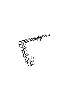 [Ba+2].[Ba+2].[Mg+2].[Mg+2].[O-2].[O-2].[O-2].[O-2].[O-2].[O-2].[O-2].[O-2].[O-2].[Ta+5].[Ta+5]